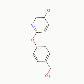 OCc1ccc(Oc2ccc(Cl)cn2)cc1